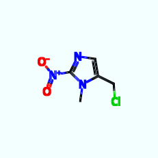 Cn1c(CCl)cnc1[N+](=O)[O-]